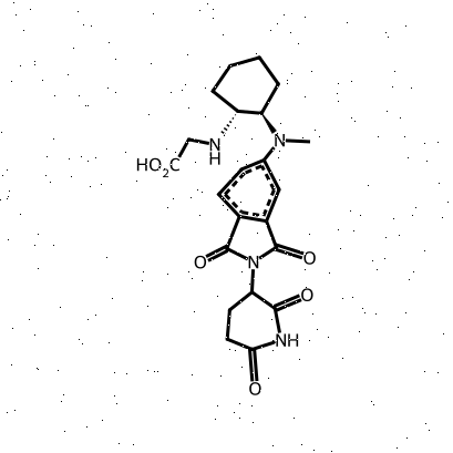 CN(c1ccc2c(c1)C(=O)N(C1CCC(=O)NC1=O)C2=O)[C@@H]1CCCC[C@H]1NCC(=O)O